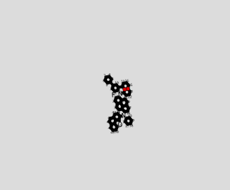 Fc1cc(-c2ccccc2)cc(-c2ccccc2)c1N(c1ccccc1)c1ccc2ccc3c(N(c4ccccc4)c4ccc5ccc6cccc7oc4c5c67)ccc4ccc1c2c43